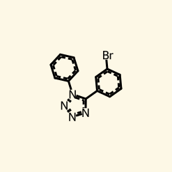 Brc1cccc(-c2nnnn2-c2ccccc2)c1